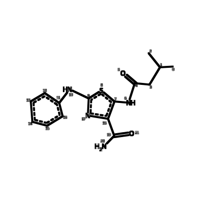 CC(C)CC(=O)Nc1sc(Nc2ccccc2)nc1C(N)=O